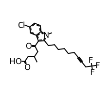 CC(CC(=O)O)CC(=O)c1c(CCCCCCC#CCC(F)(F)F)n(C)c2ccc(Cl)cc12